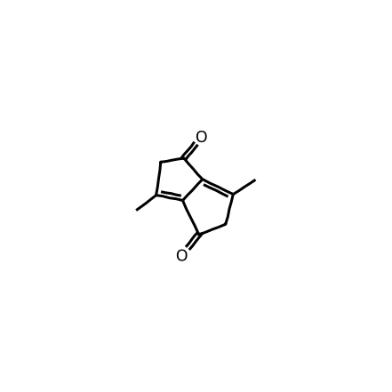 CC1=C2C(=O)CC(C)=C2C(=O)C1